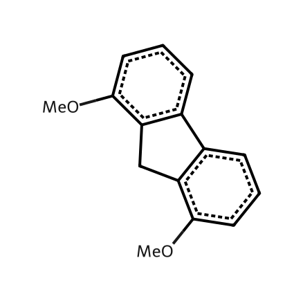 COc1cccc2c1Cc1c(OC)cccc1-2